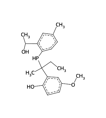 CCC(C)(Pc1ccc(C)cc1C(C)O)c1cc(OC)ccc1O